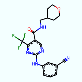 N#Cc1cccc(Nc2ncc(C(=O)NCC3CCOCC3)c(C(F)(F)F)n2)c1